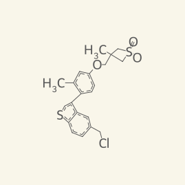 Cc1cc(OCC2(C)CS(=O)(=O)C2)ccc1-c1csc2ccc(CCl)cc12